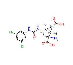 N[C@@]1(C(=O)O)C[C@H](NC(=O)Nc2cc(Cl)cc(Cl)c2)[C@H]2[C@H](C(=O)O)[C@H]21